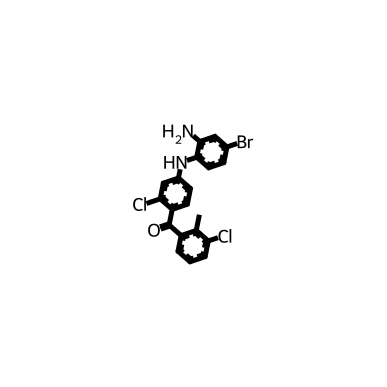 Cc1c(Cl)cccc1C(=O)c1ccc(Nc2ccc(Br)cc2N)cc1Cl